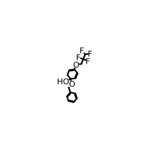 OC1(OCc2ccccc2)C=CC(OCC(F)(F)C(F)F)=CC1